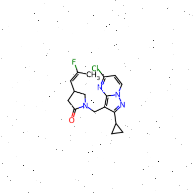 C/C(F)=C\C1CC(=O)N(Cc2c(C3CC3)nn3ccc(Cl)nc23)C1